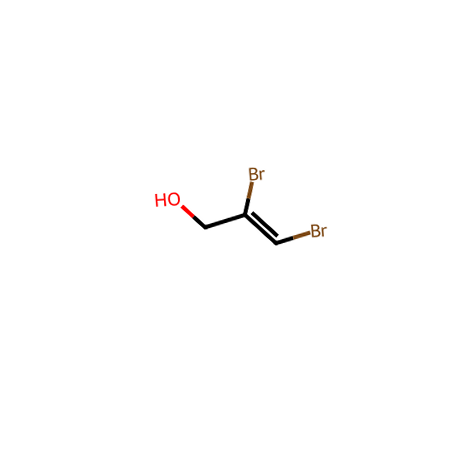 OCC(Br)=CBr